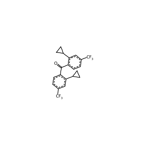 O=C(c1ccc(C(F)(F)F)cc1C1CC1)c1ccc(C(F)(F)F)cc1C1CC1